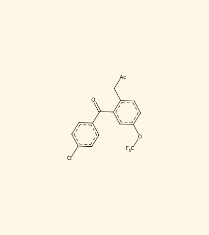 CC(=O)Cc1ccc(OC(F)(F)F)cc1C(=O)c1ccc(Cl)cc1